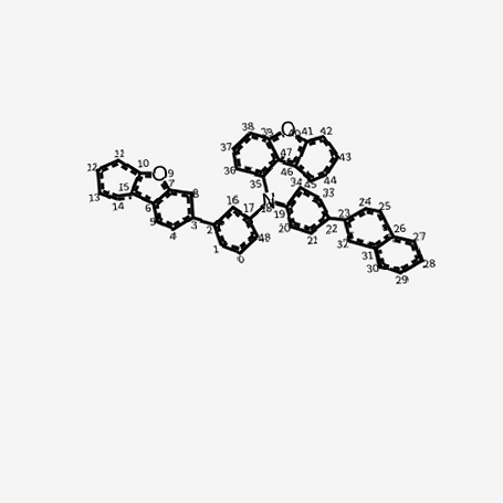 c1cc(-c2ccc3c(c2)oc2ccccc23)cc(N(c2ccc(-c3ccc4ccccc4c3)cc2)c2cccc3oc4ccccc4c23)c1